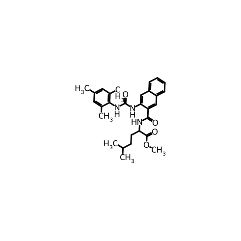 COC(=O)C(CCC(C)C)NC(=O)c1cc2ccccc2cc1NC(=O)Nc1c(C)cc(C)cc1C